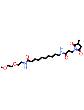 COCCOCCNC(=O)CCCCCCCCCNC(=O)CCN1C(=O)CC(C)C1=O